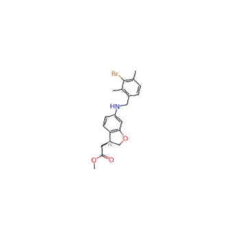 COC(=O)C[C@@H]1COc2cc(NCc3ccc(C)c(Br)c3C)ccc21